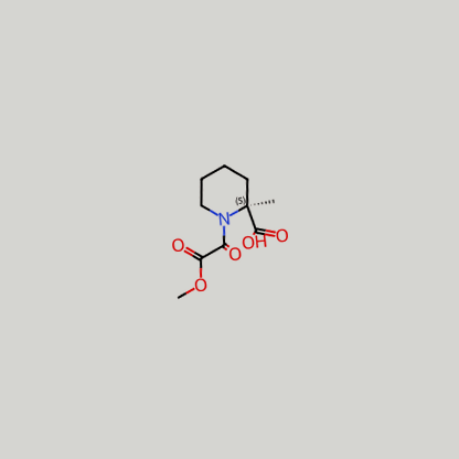 COC(=O)C(=O)N1CCCC[C@@]1(C)C(=O)O